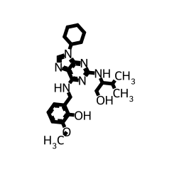 COc1cccc(CNc2nc(NC(CO)C(C)C)nc3c2ncn3C2CCCCC2)c1O